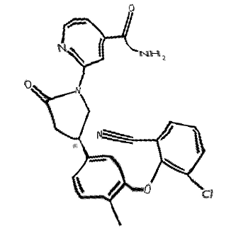 Cc1ccc([C@H]2CC(=O)N(c3cc(C(N)=O)ccn3)C2)cc1Oc1c(Cl)cccc1C#N